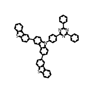 c1ccc(-c2nc(-c3ccccc3)nc(-c3ccc(-n4c5ccc(-c6ccc7sc8ccccc8c7c6)cc5c5cc(-c6ccc7sc8ccccc8c7c6)ccc54)cc3)n2)cc1